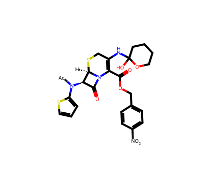 CC(=O)N(c1cccs1)[C@@H]1C(=O)N2C(C(=O)OCc3ccc([N+](=O)[O-])cc3)=C(NC3(O)CCCCO3)CS[C@H]12